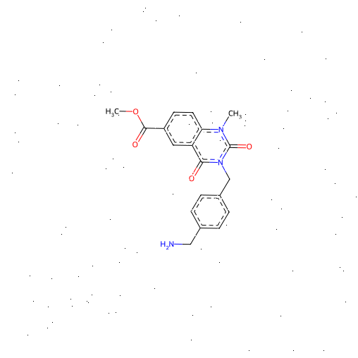 COC(=O)c1ccc2c(c1)c(=O)n(Cc1ccc(CN)cc1)c(=O)n2C